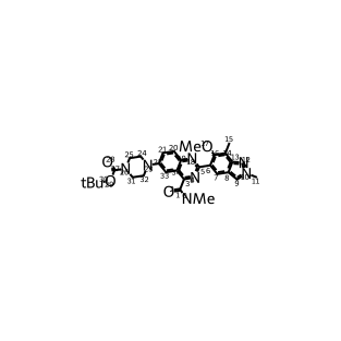 CNC(=O)c1nc(-c2cc3cn(C)nc3c(C)c2OC)nc2ccc(N3CCN(C(=O)OC(C)(C)C)CC3)cc12